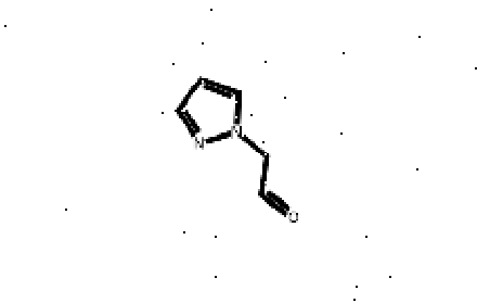 O=CCn1cccn1